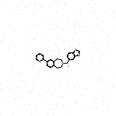 C[C@@H](c1ccc2scnc2c1)N1CCc2ccc(-c3ccccn3)cc2CC1